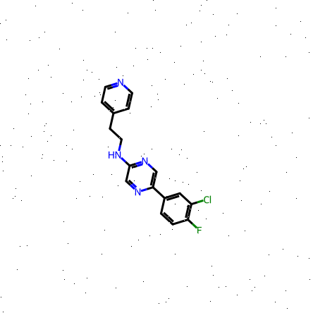 Fc1ccc(-c2cnc(NCCc3ccncc3)cn2)cc1Cl